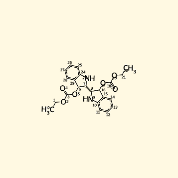 CCOC(=O)OC1/C(=C2\Nc3ccccc3C2OC(=O)OCC)Nc2ccccc21